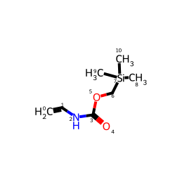 C=CNC(=O)OC[Si](C)(C)C